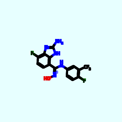 Nc1nc2c(F)ccc(/C(=N\O)Nc3ccc(F)c(C(F)(F)F)c3)c2[nH]1